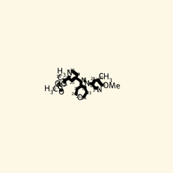 COc1ncc(-n2nc(-c3ccnc([C@@H](C)OS(C)(=O)=O)c3)c3c2CCOCC3)cc1C